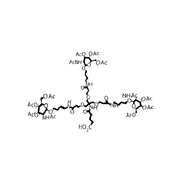 CC(=O)N[C@H]1[C@H](OCCCCNC(=O)CCOCC(COCCC(=O)NCCCCO[C@@H]2O[C@H](COC(C)=O)[C@H](OC(C)=O)[C@H](OC(C)=O)[C@H]2NC(C)=O)(COCCC(=O)NCCCCO[C@@H]2O[C@H](COC(C)=O)[C@H](OC(C)=O)[C@H](OC(C)=O)[C@H]2NC(C)=O)NC(=O)CCCC(=O)O)O[C@H](COC(C)=O)[C@H](OC(C)=O)[C@@H]1OC(C)=O